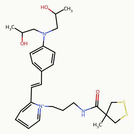 CC(O)CN(CC(C)O)c1ccc(/C=C/c2cccc[n+]2CCCNC(=O)C2(C)CSSC2)cc1